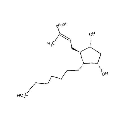 CCCCCC(C)=CC[C@@H]1[C@@H](CCCCCCC(=O)O)[C@@H](O)C[C@H]1O